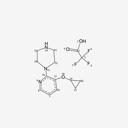 O=C(O)C(F)(F)F.c1cnc(N2CCNCC2)c(OC2CC2)c1